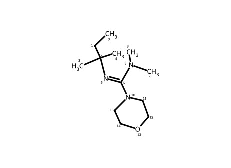 CCC(C)(C)N=C(N(C)C)N1CCOCC1